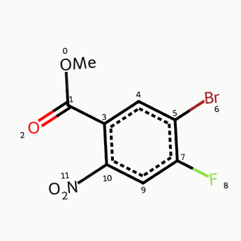 COC(=O)c1cc(Br)c(F)cc1[N+](=O)[O-]